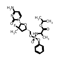 CC(C)OC(=O)C(C)NP(=O)(OC[C@@H]1C[C@@](C)(F)[C@H](n2ccc(N)nc2=O)O1)Oc1ccccc1